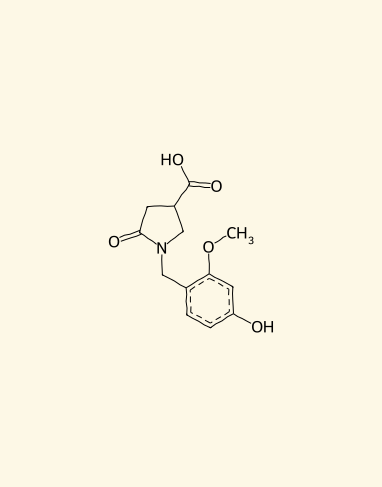 COc1cc(O)ccc1CN1CC(C(=O)O)CC1=O